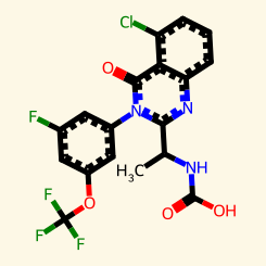 CC(NC(=O)O)c1nc2cccc(Cl)c2c(=O)n1-c1cc(F)cc(OC(F)(F)F)c1